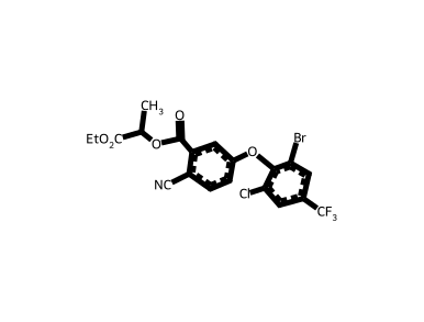 CCOC(=O)C(C)OC(=O)c1cc(Oc2c(Cl)cc(C(F)(F)F)cc2Br)ccc1C#N